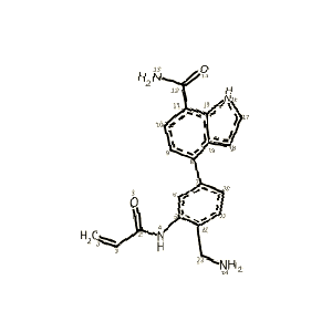 C=CC(=O)Nc1cc(-c2ccc(C(N)=O)c3[nH]ccc23)ccc1CN